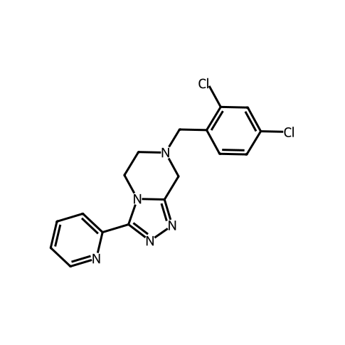 Clc1ccc(CN2CCn3c(nnc3-c3ccccn3)C2)c(Cl)c1